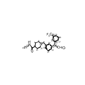 CCCNC(=O)C1CCN(Cc2cccc(N(C=O)c3cccc(C(F)(F)F)n3)c2)CC1